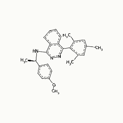 COc1ccc([C@@H](C)Nc2nnc(-c3c(C)cc(C)cc3C)c3ccccc23)cc1